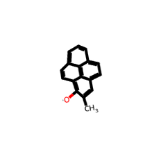 Cc1cc2ccc3cccc4ccc(c1[O])c2c34